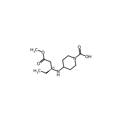 CC[C@@H](CC(=O)OC)NC1CCN(C(=O)O)CC1